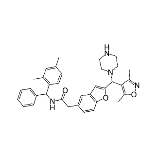 Cc1ccc(C(NC(=O)Cc2ccc3oc(C(c4c(C)noc4C)N4CCNCC4)cc3c2)c2ccccc2)c(C)c1